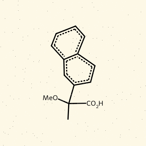 COC(C)(C(=O)O)c1ccc2ccccc2c1